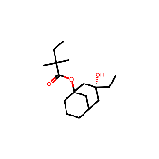 CCC(C)(C)C(=O)OC12CCCC(C1)C[C@](O)(CC)C2